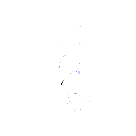 O=C(O)N[C@@H](Cc1ccccc1)C(=O)N1CC[S+]([O-])CC1